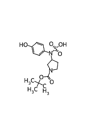 CC(C)(C)OC(=O)N1CCC(N(c2ccc(O)cc2)S(=O)(=O)O)C1